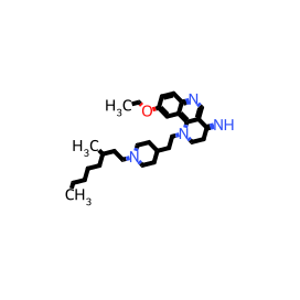 CCCCCC(C)CCN1CCC(CCN2CCC(=N)c3cnc4ccc(OCC)cc4c32)CC1